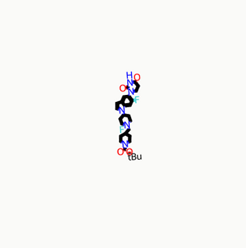 CC(C)(C)OC(=O)N1CCC(F)(CN2CCC(n3ccc4cc(N5CCC(=O)NC5=O)c(F)cc43)CC2)CC1